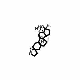 CC[C@@]1(O)CC[C@H]2[C@@H]3CCC4=C(CCC5(CCOO5)C4)C3=CC[C@@]21C